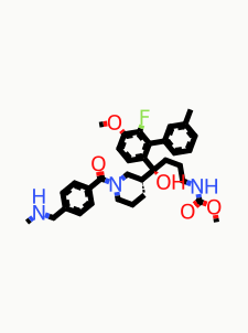 CNCc1ccc(C(=O)N2CCC[C@@H]([C@@](O)(CCCNC(=O)OC)c3ccc(OC)c(F)c3-c3cccc(C)c3)C2)cc1